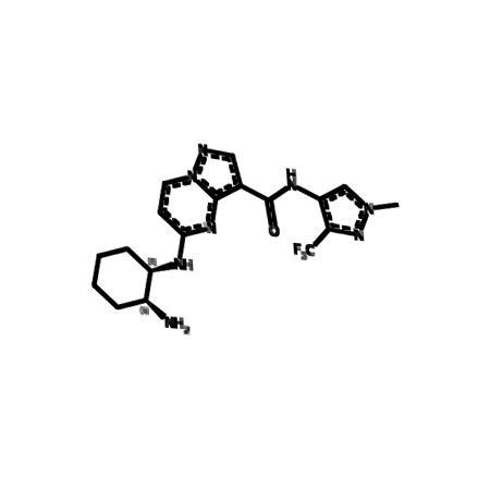 Cn1cc(NC(=O)c2cnn3ccc(N[C@@H]4CCCC[C@@H]4N)nc23)c(C(F)(F)F)n1